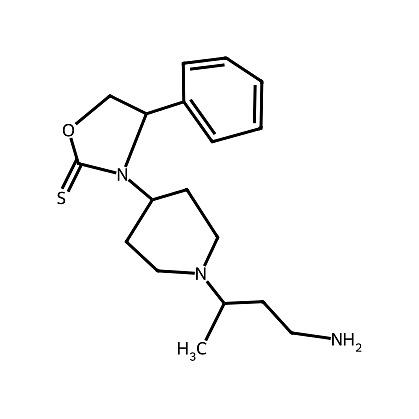 CC(CCN)N1CCC(N2C(=S)OCC2c2ccccc2)CC1